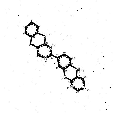 c1ccc2c(c1)Cc1cnc(-c3ccc4c(c3)Sc3ncncc3[SiH2]4)nc1S2